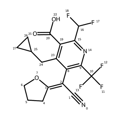 N#CC(=C1CCCO1)c1c(C(F)(F)F)nc(C(F)F)c(C(=O)O)c1CC1CC1